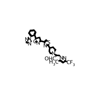 Cc1cc(C(F)(F)F)nn1CC(C=O)N1CCC(c2nc(C3=NOC(c4ccccc4-n4cncn4)C3)cs2)CC1